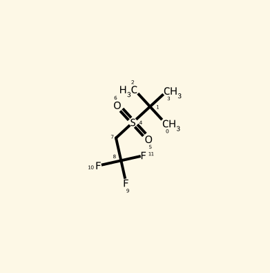 CC(C)(C)S(=O)(=O)CC(F)(F)F